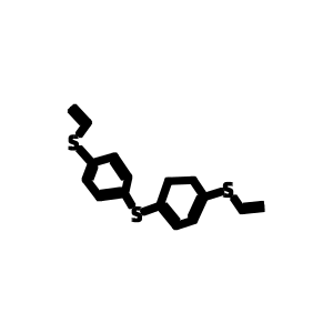 C=CSC1=CC=C(Sc2ccc(SC=C)cc2)CC1